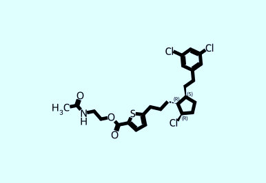 CC(=O)NCCOC(=O)c1ccc(CCC[C@@H]2[C@@H](CCc3cc(Cl)cc(Cl)c3)CC[C@H]2Cl)s1